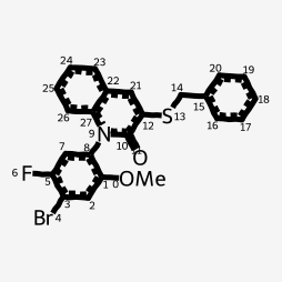 COc1cc(Br)c(F)cc1-n1c(=O)c(SCc2ccccc2)cc2ccccc21